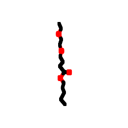 CCCCCOC(=O)CCCOCCOCC